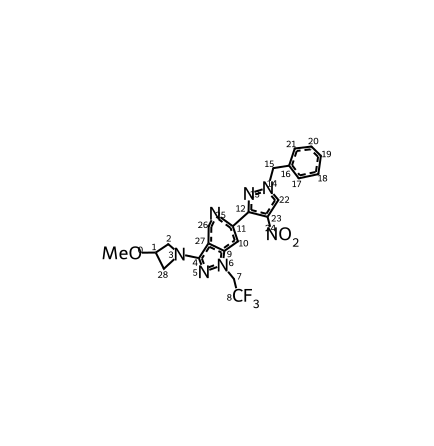 COC1CN(c2nn(CC(F)(F)F)c3cc(-c4nn(Cc5ccccc5)cc4[N+](=O)[O-])ncc23)C1